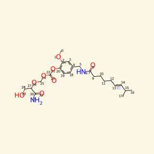 COc1cc(CNC(=O)CCCC/C=C/C(C)C)ccc1OC(=O)OCOC(CO)C(N)=O